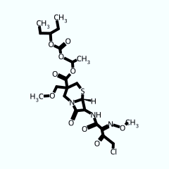 CCC(CC)OC(=O)OC(C)OC(=O)C1(COC)CS[C@@H]2C(NC(=O)C(=NOC)C(=O)CCl)C(=O)N2C1